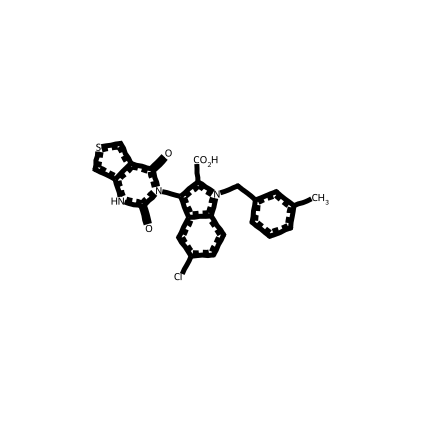 Cc1cccc(Cn2c(C(=O)O)c(-n3c(=O)[nH]c4cscc4c3=O)c3cc(Cl)ccc32)c1